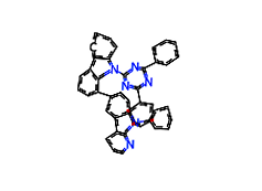 c1ccc(-c2nc(-c3ccccc3)nc(-n3c4ccccc4c4cccc(-c5ccc6c(c5)c5cccnc5n6-c5ccccc5)c43)n2)cc1